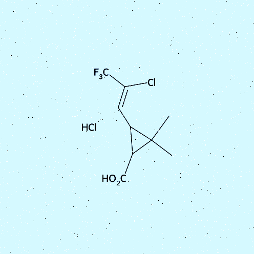 CC1(C)C(C=C(Cl)C(F)(F)F)C1C(=O)O.Cl